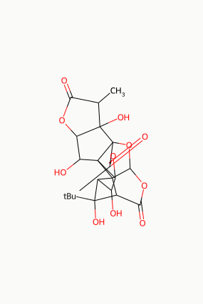 CC1C(=O)OC2C(O)C34C5OC(=O)C3(OC3OC(=O)C6C(O)(C(C)(C)C)C(C5O)C364)C12O